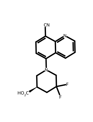 N#Cc1ccc(N2C[C@H](C(=O)O)CC(F)(F)C2)c2cccnc12